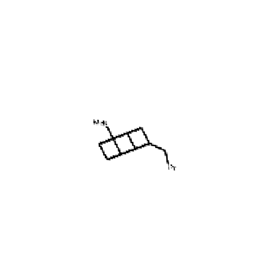 CNC12C3C4C1C1C2C3C41CC(C)C